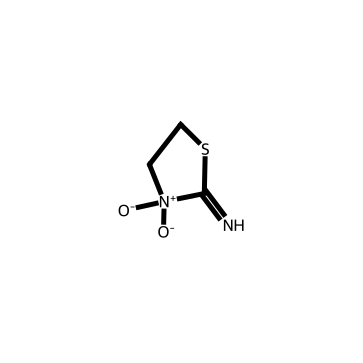 N=C1SCC[N+]1([O-])[O-]